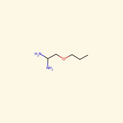 CCCOCC(N)N